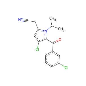 CC(C)n1c(CC#N)cc(Cl)c1C(=O)c1cccc(Cl)c1